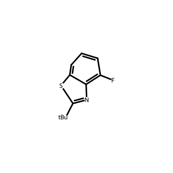 CC(C)(C)c1nc2c(F)cccc2s1